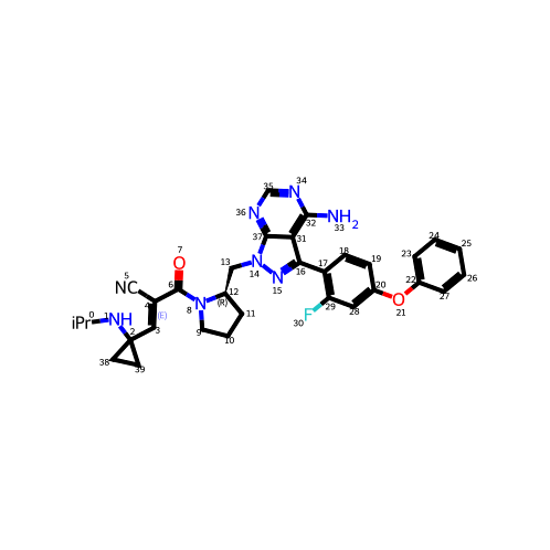 CC(C)NC1(/C=C(\C#N)C(=O)N2CCC[C@@H]2Cn2nc(-c3ccc(Oc4ccccc4)cc3F)c3c(N)ncnc32)CC1